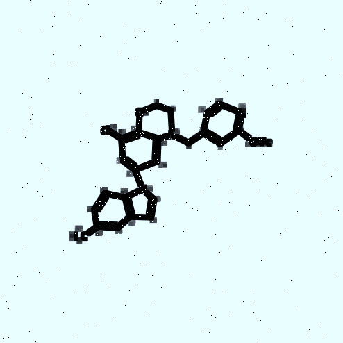 COc1cc(CN2CCOc3c(Cl)cc(-n4ccc5cc(C)ccc54)cc32)ccn1